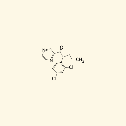 C=CCC(C(=O)c1cnccn1)c1ccc(Cl)cc1Cl